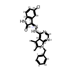 Cc1c(C)n(Cc2ccccc2)c2ncnc(N/N=C3\C(=O)Nc4ccc(Cl)cc43)c12